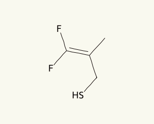 CC(CS)=C(F)F